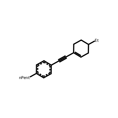 CCCCCc1ccc(C#CC2=CCC(CC)CC2)cc1